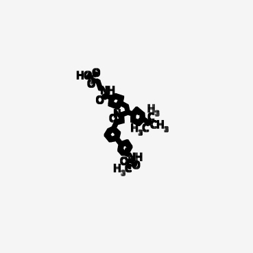 CC(C)(C)c1ccc(C(Cc2ccc(C(=O)NCCS(=O)(=O)O)cc2)c2cc(-c3cccc(-c4ccc(NS(C)(=O)=O)cc4)c3)on2)cc1